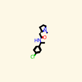 CC(NC(=O)C[C@H]1CCCN1C)c1ccc(Cl)cc1